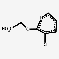 O=C(O)COc1ncccc1Cl